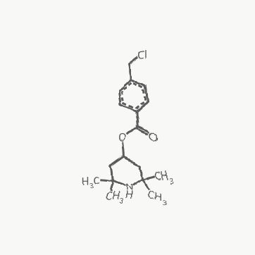 CC1(C)CC(OC(=O)c2ccc(CCl)cc2)CC(C)(C)N1